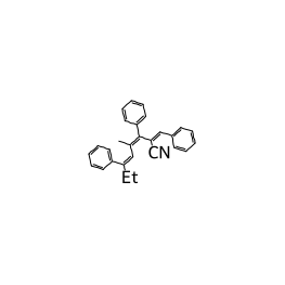 CCC(=CC(C)=C(C(C#N)=Cc1ccccc1)c1ccccc1)c1ccccc1